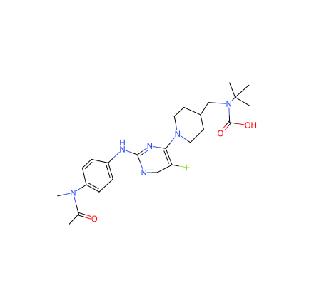 CC(=O)N(C)c1ccc(Nc2ncc(F)c(N3CCC(CN(C(=O)O)C(C)(C)C)CC3)n2)cc1